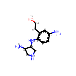 Nc1ccc(NC2CNCC2N)c(CCO)c1